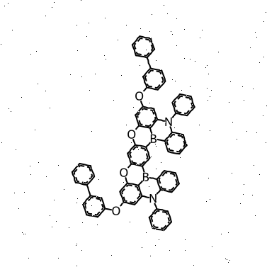 c1ccc(-c2cccc(Oc3cc4c5c(c3)N(c3ccccc3)c3ccccc3B5c3cc5c(cc3O4)Oc3cc(Oc4cccc(-c6ccccc6)c4)cc4c3B5c3ccccc3N4c3ccccc3)c2)cc1